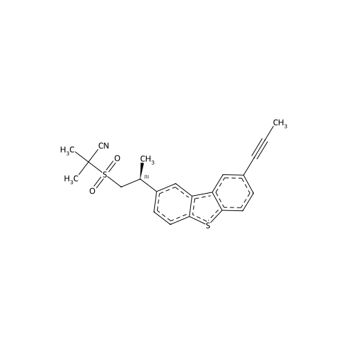 CC#Cc1ccc2sc3ccc([C@H](C)CS(=O)(=O)C(C)(C)C#N)cc3c2c1